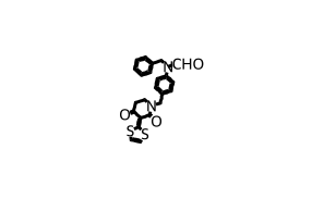 O=CN(Cc1ccccc1)c1ccc(CN2CCC(=O)C(=C3SC=CS3)C2=O)cc1